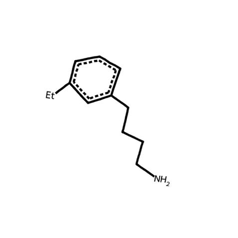 [CH2]Cc1cccc(CCCCN)c1